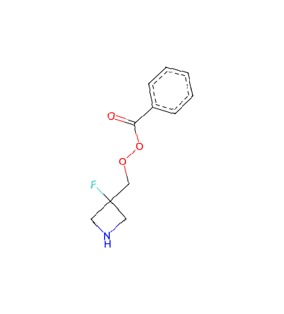 O=C(OOCC1(F)CNC1)c1ccccc1